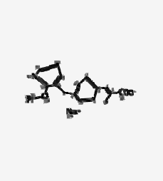 C/C(=C\c1ccc(Cc2cccnc2OC(C)C)cc1)C(=O)[O-].[Na+]